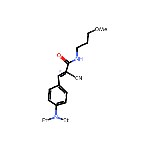 CCN(CC)c1ccc(/C=C(\C#N)C(=O)NCCCOC)cc1